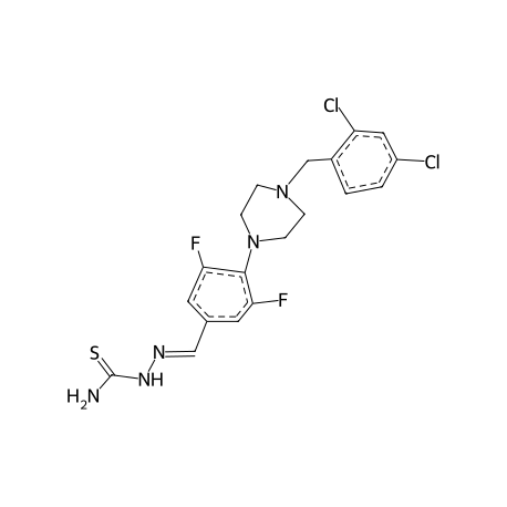 NC(=S)NN=Cc1cc(F)c(N2CCN(Cc3ccc(Cl)cc3Cl)CC2)c(F)c1